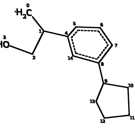 [CH2]C(CO)c1cccc(C2CCCC2)c1